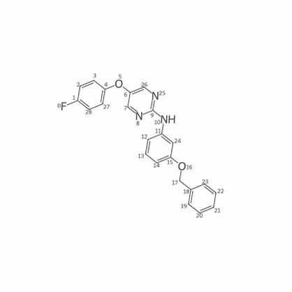 Fc1ccc(Oc2cnc(Nc3cccc(OCc4ccccc4)c3)nc2)cc1